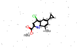 CCCCOC(=O)c1cc(Cl)c2cc(C3CC3)cc(C(C)(C)C)c2n1